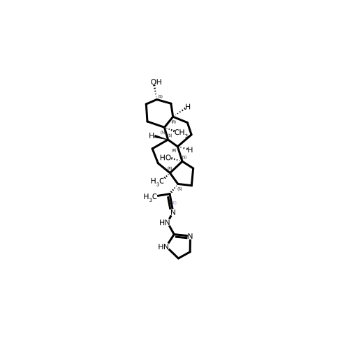 C/C(=N\NC1=NCCN1)[C@H]1CC[C@]2(O)[C@@H]3CC[C@@H]4C[C@@H](O)CC[C@]4(C)[C@H]3CC[C@]12C